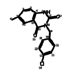 Cc1ccc2[nH]c(=O)n(Cc3ccc(Cl)cc3)c(=O)c2c1